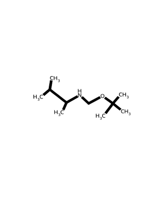 CC(C)C(C)NCOC(C)(C)C